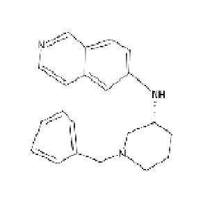 c1ccc(CN2CCC[C@@H](Nc3ccc4cnccc4c3)C2)cc1